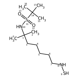 CC(C)(CCCCCNS)NS(=O)(=O)C(C)(C)C